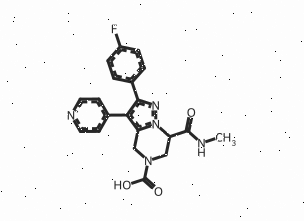 CNC(=O)C1CN(C(=O)O)Cc2c(-c3ccncc3)c(-c3ccc(F)cc3)nn21